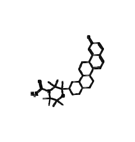 CC1(C)OC(C)(C2CCC3CCC4C5=CC=C6C=CC(=O)C=C6C5CCC4C3C2)C(C)(C)N(C(N)=O)C1(C)C